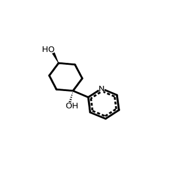 O[C@H]1CC[C@@](O)(c2ccccn2)CC1